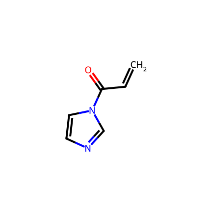 C=CC(=O)n1ccnc1